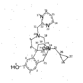 Oc1ccc2c(c1)C13CCN(Cc4ncccn4)CCC1(O)C(C2)N(CC1CC1)CC3